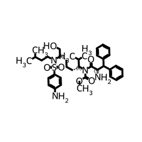 COC(=O)N(C(=O)[C@@H](N)C(c1ccccc1)c1ccccc1)[C@H](CCC[C@@H](CO)N(CCC(C)C)S(=O)(=O)c1ccc(N)cc1)C(C)C